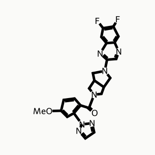 COc1ccc(C(=O)N2CC3CN(c4cnc5cc(F)c(F)cc5n4)CC3C2)c(-n2nccn2)c1